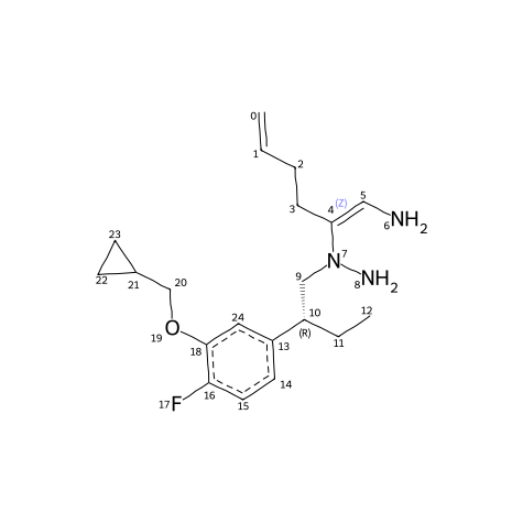 C=CCC/C(=C/N)N(N)C[C@H](CC)c1ccc(F)c(OCC2CC2)c1